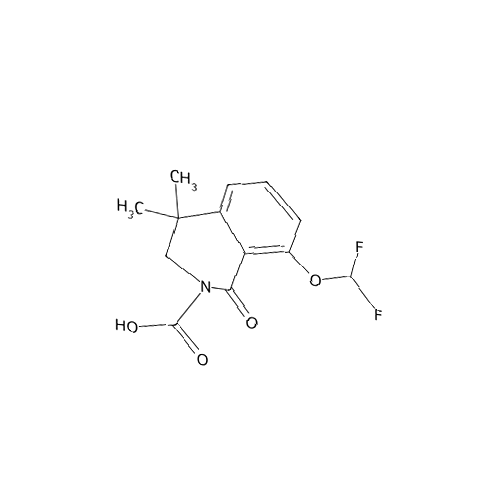 CC1(C)CN(C(=O)O)C(=O)c2c(OC(F)F)cccc21